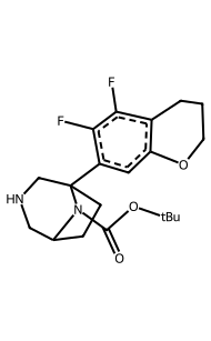 CC(C)(C)OC(=O)N1C2CCC1(c1cc3c(c(F)c1F)CCCO3)CNC2